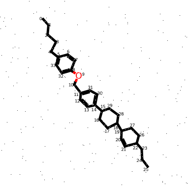 CCCCCc1ccc(OCc2ccc(C3CCC(C4C=CC(CCC)CC4)CC3)cc2)cc1